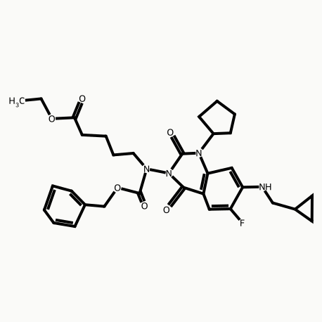 CCOC(=O)CCCCN(C(=O)OCc1ccccc1)n1c(=O)c2cc(F)c(NCC3CC3)cc2n(C2CCCC2)c1=O